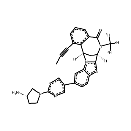 [2H]C([2H])([2H])N1C(=O)c2cccc(C#CC)c2[C@H]2C[C@@H]1c1nc3ccc(-c4cnc(N5CC[C@H](N)C5)nc4)cc3n12